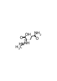 CNN[C@@H](CCC(N)=O)C(=O)O